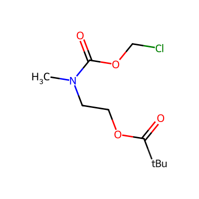 CN(CCOC(=O)C(C)(C)C)C(=O)OCCl